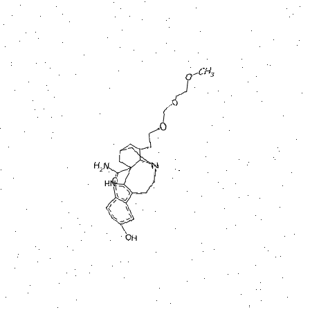 COCCOCOCCC1CC2CN3CCc4c([nH]c5ccc(O)cc45)C(C(N)=O)(C2)C13